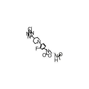 CC(=O)NC[C@H]1CN(c2ccc(N3CCC(c4nnn(Cl)n4)CC3)c(F)c2)C(=O)O1